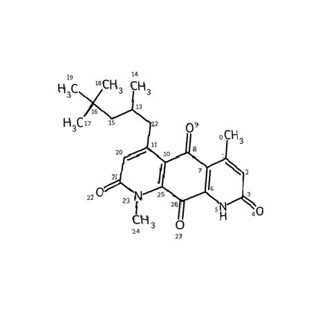 Cc1cc(=O)[nH]c2c1C(=O)c1c(CC(C)CC(C)(C)C)cc(=O)n(C)c1C2=O